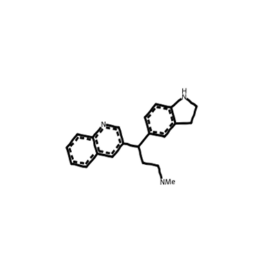 CNCCC(c1ccc2c(c1)CCN2)c1cnc2ccccc2c1